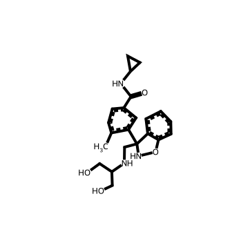 Cc1ccc(C(=O)NC2CC2)cc1C1(CNC(CO)CO)NOc2ccccc21